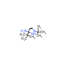 CC(C)(C)N1C=CC(N)(C(C)(C)C)N1